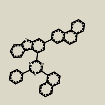 c1ccc(-c2nc(-c3cccc4ccccc34)nc(-c3cc(-c4ccc5c(ccc6ccccc65)c4)cc4oc5ccccc5c34)n2)cc1